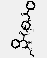 CCOC(=O)NC(C(=O)O[C@H]1C[N+]2(CC(=O)c3ccccc3)CCC1CC2)c1ccccc1